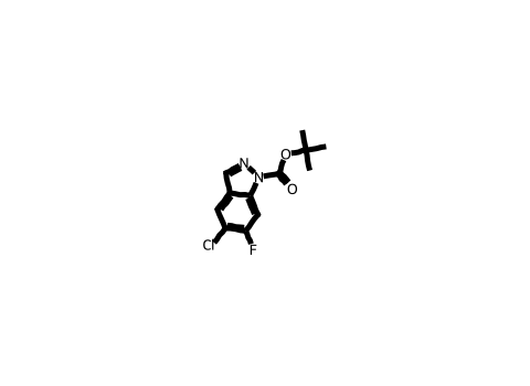 CC(C)(C)OC(=O)n1ncc2cc(Cl)c(F)cc21